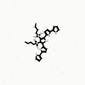 CCCCS(=O)(=O)c1c(-c2ccc(-c3cccs3)s2)sc(-c2ccc(-c3cccs3)s2)c1S(=O)(=O)CCCC